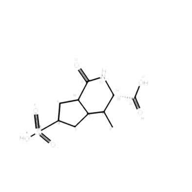 CC1C2CC(S(=O)(=O)O)CC2C(=O)N[C@@H]1C(=O)O